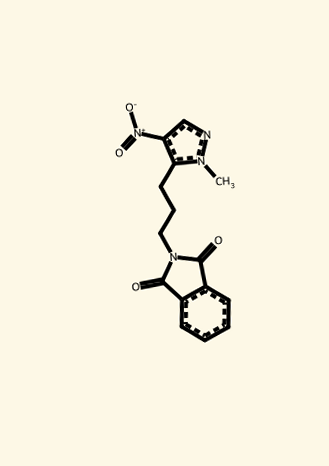 Cn1ncc([N+](=O)[O-])c1CCCN1C(=O)c2ccccc2C1=O